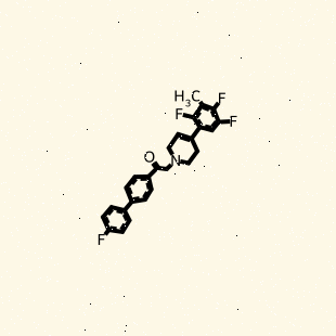 Cc1c(F)c(F)cc(C2=CCN(CC(=O)c3ccc(-c4ccc(F)cc4)cc3)CC2)c1F